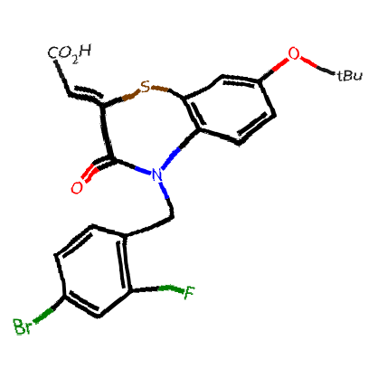 CC(C)(C)Oc1ccc2c(c1)SC(=CC(=O)O)C(=O)N2Cc1ccc(Br)cc1F